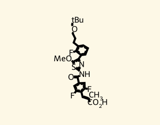 COc1sc(NC(=O)c2cc(F)c(C=C(C)C(=O)O)c(F)c2)nc1-c1cccc(CCCOCC(C)(C)C)c1F